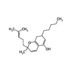 CCCCCC1C=C(O)C2=C(C1)OC(C)(CCC=C(C)C)C=C2